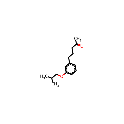 CC(=O)CCCc1cccc(OCC(C)C)c1